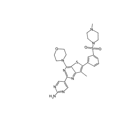 Cc1c(-c2cccc(S(=O)(=O)N3CCN(C)CC3)c2)sc2c(N3CCOCC3)nc(-c3cnc(N)nc3)nc12